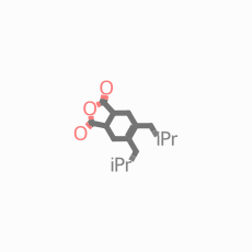 CC(C)CC1=C(CC(C)C)CC2C(=O)OC(=O)C2C1